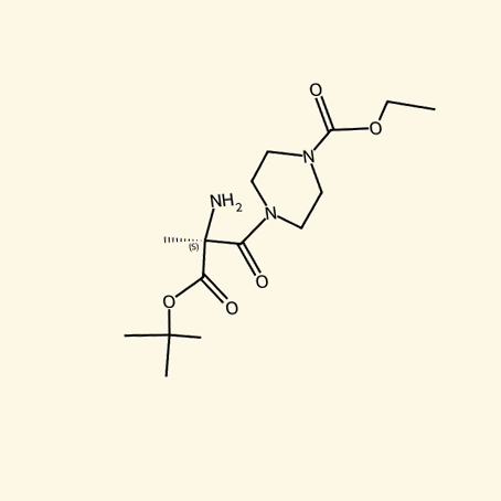 CCOC(=O)N1CCN(C(=O)[C@](C)(N)C(=O)OC(C)(C)C)CC1